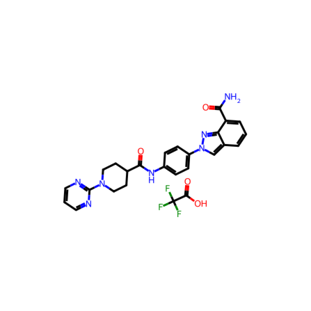 NC(=O)c1cccc2cn(-c3ccc(NC(=O)C4CCN(c5ncccn5)CC4)cc3)nc12.O=C(O)C(F)(F)F